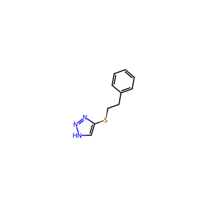 c1ccc(CCSc2c[nH]nn2)cc1